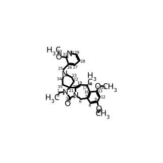 CCN1C(=O)N2Cc3cc(OC)cc(OC)c3[C@@H](C)C=C2C12CCN(Cc1cccnc1OC)CC2